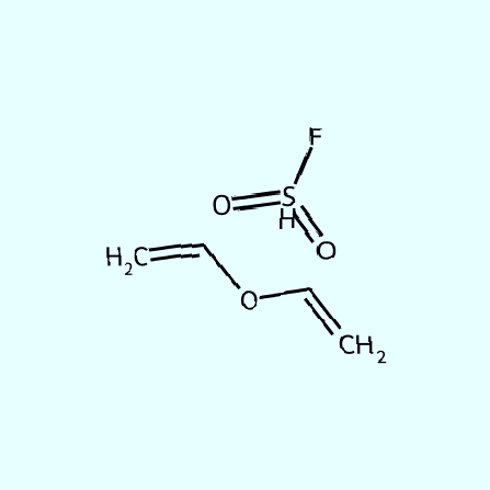 C=COC=C.O=[SH](=O)F